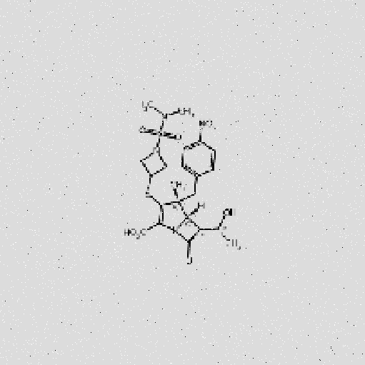 C[C@@H](O)[C@H]1C(=O)N2C(C(=O)O)=C(SC3CN(S(=O)(=O)N(C)C)C3)[C@](C)(Cc3ccc([N+](=O)[O-])cc3)[C@H]12